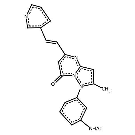 CC(=O)Nc1cccc(-n2c(C)cc3nc(/C=C/c4cccnc4)cc(=O)n32)c1